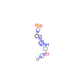 CS(=O)(=O)C1CCN(c2cccc3c2ccn3-c2ccnc(N[C@H]3CC[C@H](C(=O)N4CCN(C5CCC5)CC4)CC3)n2)CC1